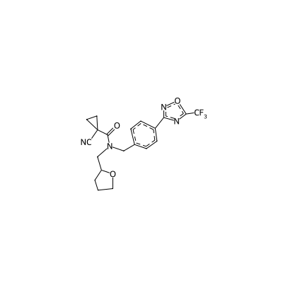 N#CC1(C(=O)N(Cc2ccc(-c3noc(C(F)(F)F)n3)cc2)CC2CCCO2)CC1